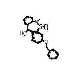 CN1c2ccccc2C(O)c2ccc(OCc3ccccc3)cc2[S+]1[O-]